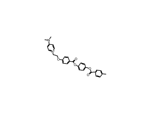 Cc1ccc(C(=O)Oc2ccc(OC(=O)c3ccc(OCC[n+]4ccc(N(C)C)cc4)cc3)cc2)cc1